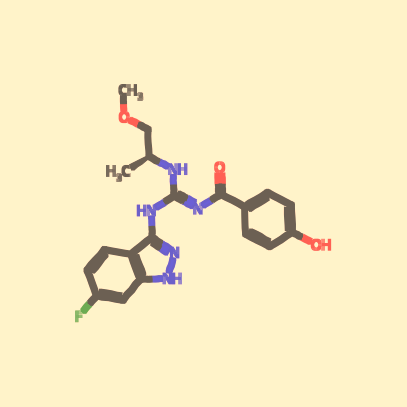 COC[C@H](C)N/C(=N\C(=O)c1ccc(O)cc1)Nc1n[nH]c2cc(F)ccc12